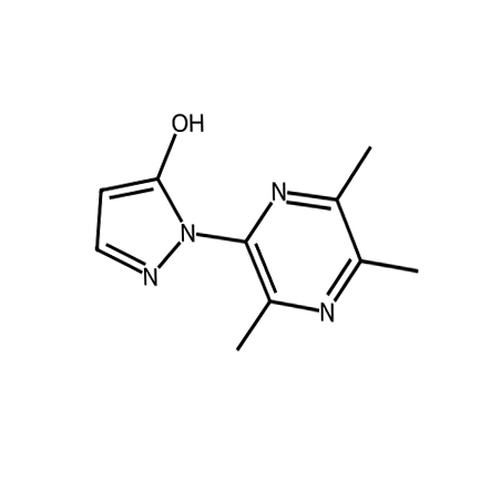 Cc1nc(C)c(-n2nccc2O)nc1C